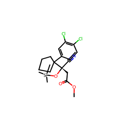 COC(=O)C[C@@](C#N)(O[Si](C)(C)C)C1(c2ccc(Cl)c(Cl)c2)CCCC1